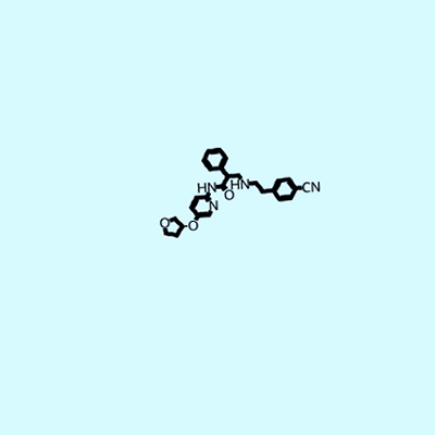 N#Cc1ccc(CCNCC(C(=O)Nc2ccc(O[C@@H]3CCOC3)cn2)c2ccccc2)cc1